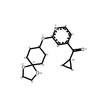 O=C(c1ccnc(OC2CCC3(CC2)OCCO3)c1)C1CC1